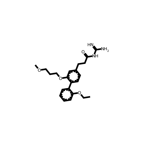 CCOc1ccccc1-c1ccc(CCC(=O)NC(=N)N)cc1OCCCOC